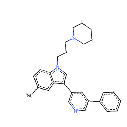 N#Cc1ccc2c(c1)c(-c1cncc(-c3ccccc3)c1)cn2CCCN1CCCCC1